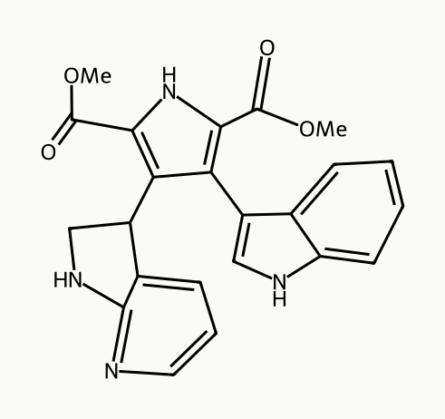 COC(=O)c1[nH]c(C(=O)OC)c(C2CNc3ncccc32)c1-c1c[nH]c2ccccc12